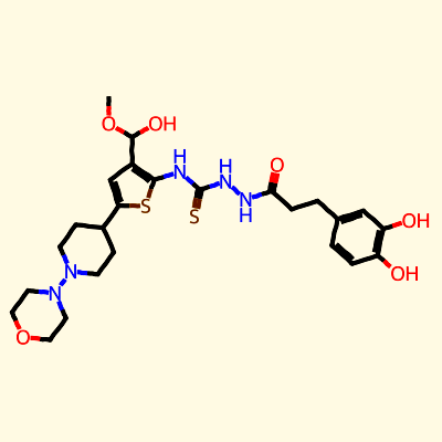 COC(O)c1cc(C2CCN(N3CCOCC3)CC2)sc1NC(=S)NNC(=O)CCc1ccc(O)c(O)c1